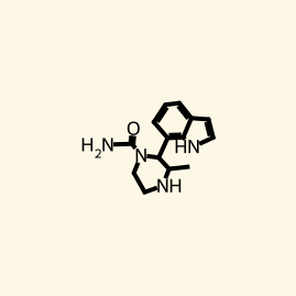 CC1NCCN(C(N)=O)C1c1cccc2cc[nH]c12